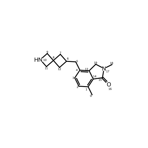 Cc1ccc(CC2CC3(CNC3)C2)c2c1C(=O)N(C)C2